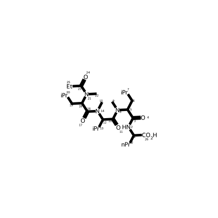 CCCC(NC(=O)C(CC(C)C)N(C)C(=O)C(C(C)C)N(C)C(=O)C(CC(C)C)N(C)C(=O)CC)C(=O)O